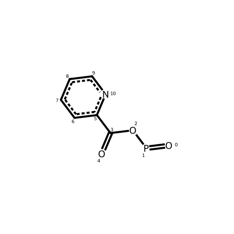 O=POC(=O)c1ccccn1